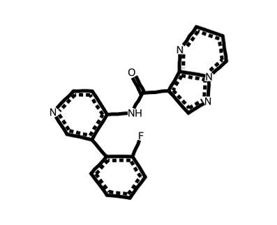 O=C(Nc1ccncc1-c1ccccc1F)c1cnn2cccnc12